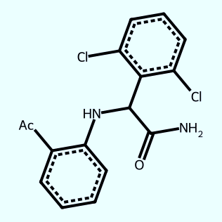 CC(=O)c1ccccc1NC(C(N)=O)c1c(Cl)cccc1Cl